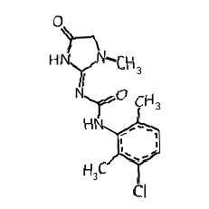 Cc1ccc(Cl)c(C)c1NC(=O)N=C1NC(=O)CN1C